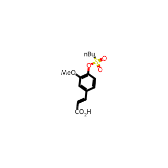 CCCCS(=O)(=O)Oc1ccc(C=CC(=O)O)cc1OC